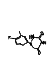 Cc1cc(N2CC(=O)NC(=O)N2)ccc1F